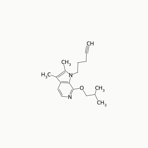 C#CCCCn1c(C)c(C)c2ccnc(OCC(C)C)c21